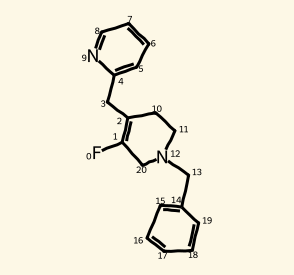 FC1=C(Cc2ccccn2)CCN(Cc2ccccc2)C1